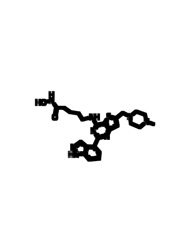 CN1CCN(Cc2cc3nc(-c4cccc5[nH]ncc45)nc(NCCCCC(=O)NO)c3s2)CC1